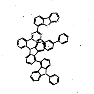 c1ccc(-c2cccc(-c3nc(-c4ccccc4-n4c5ccccc5c5c(-c6cccc7c6c6ccccc6n7-c6ccccc6)cccc54)nc(-c4cccc5c4sc4ccccc45)n3)c2)cc1